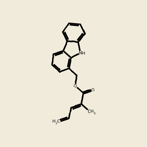 C=CC=C(C)C(=O)OCc1cccc2c1[nH]c1ccccc12